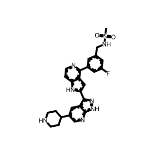 CS(=O)(=O)NCc1cc(F)cc(-c2nccc3[nH]c(-c4n[nH]c5ncc(C6CCNCC6)cc45)cc23)c1